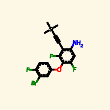 C[Si](C)(C)C#Cc1c(N)cc(F)c(Oc2ccc(F)c(Br)c2)c1F